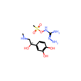 CNC[C@H](O)c1ccc(O)c(O)c1.CS(=O)(=O)ONC(N)=NN